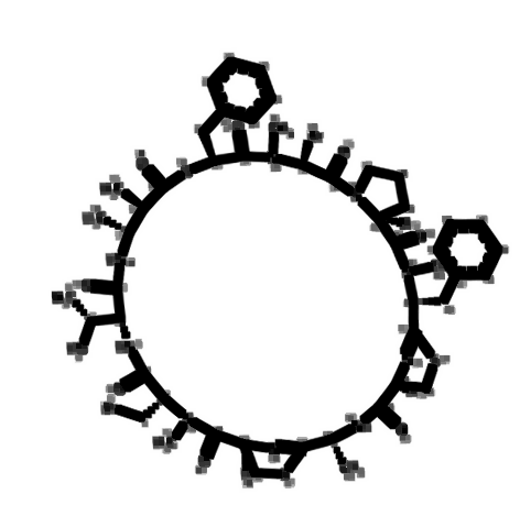 CC(C)C[C@@H]1C(=O)N[C@H]([C@@H](C)O)C(=O)N[C@H](C)[C@@H](C)C(=O)O[C@@H](Cc2ccccc2)C(=O)N(C)[C@@H](C(C)C)C(=O)N2CCC[C@H]2C(=O)N(C)[C@H](Cc2ccccc2)C2=N[C@@H](CS2)C(=O)N[C@H](C)C2=N[C@@H](CS2)C(=O)N1C